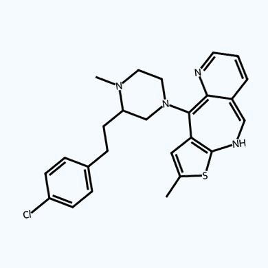 Cc1cc2c(s1)NC=c1cccnc1=C2N1CCN(C)C(CCc2ccc(Cl)cc2)C1